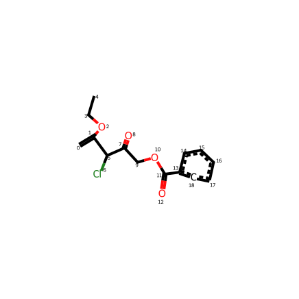 C=C(OCC)C(Cl)C(=O)COC(=O)c1ccccc1